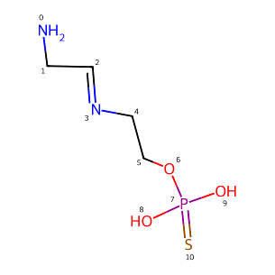 NCC=NCCOP(O)(O)=S